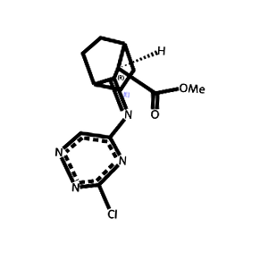 COC(=O)[C@H]1/C(=N/c2cnnc(Cl)n2)C2CCC1CC2